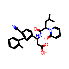 Cc1ccccc1-c1cc([C@H](CC(=O)O)NC(=O)C(CC(C)C)n2ccccc2=O)ccc1C#N